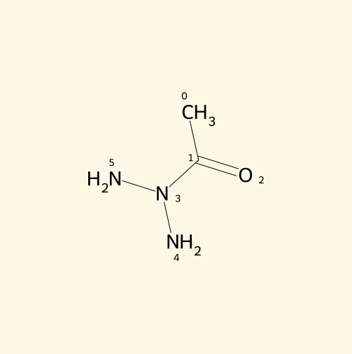 CC(=O)N(N)N